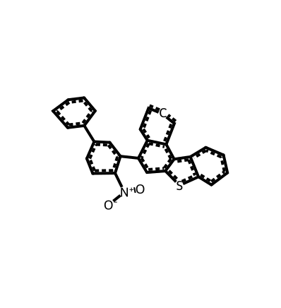 O=[N+]([O-])c1ccc(-c2ccccc2)cc1-c1cc2sc3ccccc3c2c2ccccc12